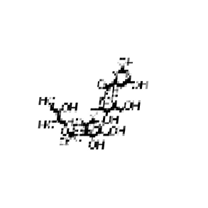 CC[C@](OC[C@H](O)[C@H](O)CO)(OC1C(O)[C@H](O[C@H](CNC(=O)c2cc(O)nc(O)n2)[C@H](O)C(O)CO)O[C@@H](CO)[C@@H]1O)C(=O)O